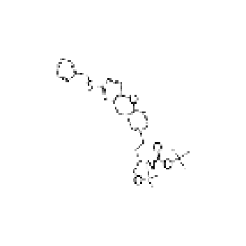 CC(C)(C)OC(=O)N1C(CCc2ccc3c(c2)Cc2cc(SCc4ccccc4)ccc2O3)COC1(C)C